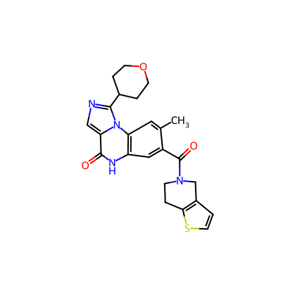 Cc1cc2c(cc1C(=O)N1CCc3sccc3C1)[nH]c(=O)c1cnc(C3CCOCC3)n12